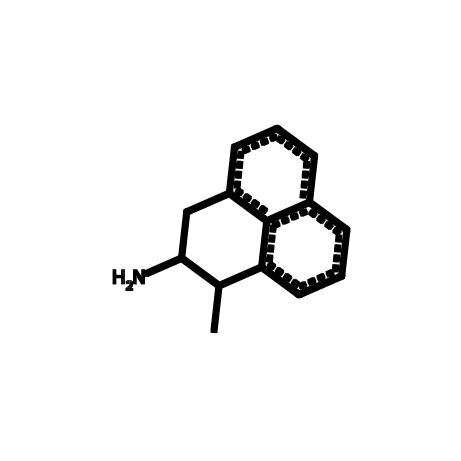 CC1c2cccc3cccc(c23)CC1N